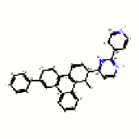 CC1c2c(c3c(c4ccccc24)C=C(c2ccccc2)CC3)C=CC1c1ccnc(C2C=CN=CC2)n1